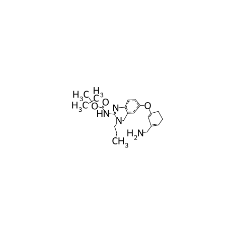 CCCN1Cc2cc(OC3=CC(CN)=CCC3)ccc2N=C1NC(=O)OC(C)(C)C